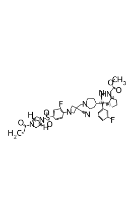 C=CC(=O)N1C[C@@H]2C[C@H]1CN2S(=O)(=O)c1ccc(N2CC(C#N)(CN3CCC([C@@](C#N)(c4cccc(F)c4)[C@H]4CCC[C@@H]4NC(=O)OC)CC3)C2)c(F)c1